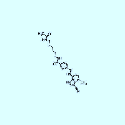 CC(=O)NCCCCCCNC(=O)c1ccc(SNc2ccc(C)c3c(C#N)c[nH]c23)cc1